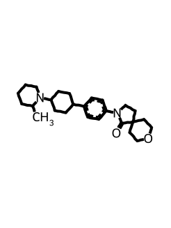 CC1CCCCN1C1CCC(c2ccc(N3CCC4(CCOCC4)C3=O)cc2)CC1